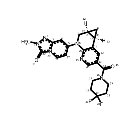 Cn1nc2cc(N3C[C@H]4C[C@H]4c4cc(C(=O)N5CCC(F)(F)CC5)cnc43)ccn2c1=O